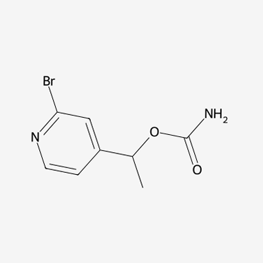 CC(OC(N)=O)c1ccnc(Br)c1